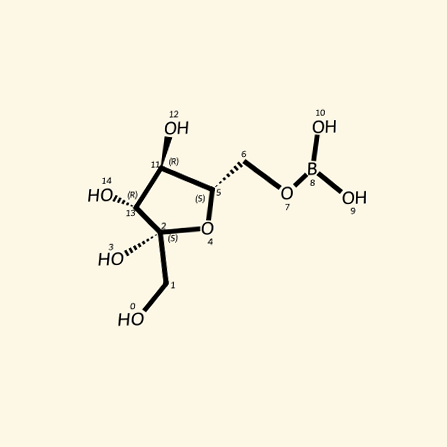 OC[C@]1(O)O[C@@H](COB(O)O)[C@H](O)[C@H]1O